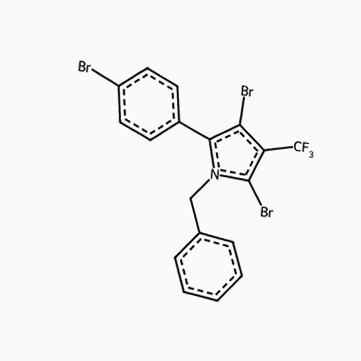 FC(F)(F)c1c(Br)c(-c2ccc(Br)cc2)n(Cc2ccccc2)c1Br